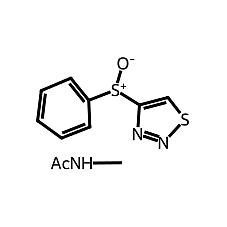 CNC(C)=O.[O-][S+](c1ccccc1)c1csnn1